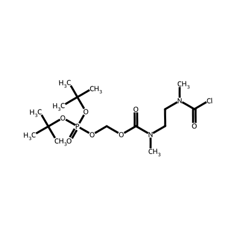 CN(CCN(C)C(=O)OCOP(=O)(OC(C)(C)C)OC(C)(C)C)C(=O)Cl